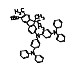 Cc1cc2c(cc1C(C)(C)C)-c1ccc(N(c3ccc(N(c4ccccc4)c4ccccc4)cc3)c3ccc(N(c4ccccc4)c4ccccc4)cc3)cc1C2(C)C